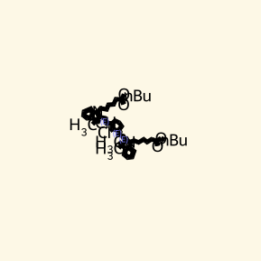 CCCCOC(=O)CCCCCN1/C(=C/C=C2\CCCC(/C=C/C3=[N+](CCCCCC(=O)OCCCC)c4ccccc4C3(C)C)=C2Cl)C(C)(C)c2ccccc21